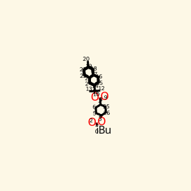 CCC(C)C(=O)OC1CCC(C(=O)OC(C)(C)c2ccc3cc(C)ccc3c2)CC1